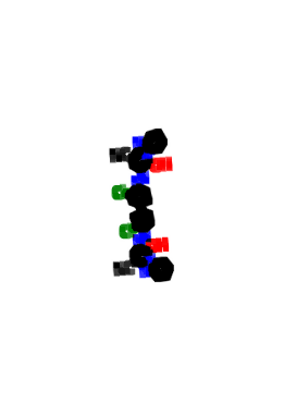 N#Cc1cc(N=Nc2ccc(-c3ccc(N=Nc4cc(C#N)c5nc6ccccc6n5c4O)c(Cl)c3)cc2Cl)c(O)n2c1nc1ccccc12